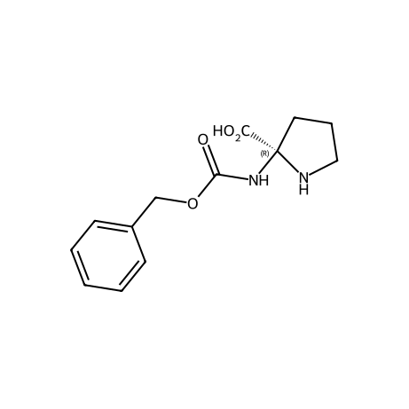 O=C(N[C@@]1(C(=O)O)CCCN1)OCc1ccccc1